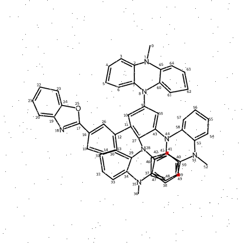 CN1c2ccccc2N(c2cc(-c3cccc(-c4nc5ccccc5o4)c3)c(N3c4ccccc4N(C)c4ccccc43)c(N3c4ccccc4N(C)c4ccccc43)c2)c2ccccc21